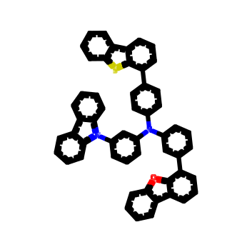 c1cc(-c2cccc3c2oc2ccccc23)cc(N(c2ccc(-c3cccc4c3sc3ccccc34)cc2)c2cccc(-n3c4ccccc4c4ccccc43)c2)c1